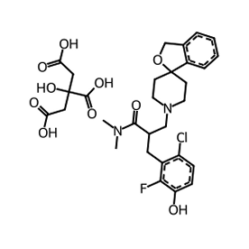 CN(C)C(=O)C(Cc1c(Cl)ccc(O)c1F)CN1CCC2(CC1)OCc1ccccc12.O=C(O)CC(O)(CC(=O)O)C(=O)O